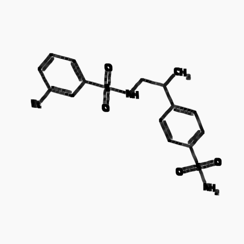 CCc1cccc(S(=O)(=O)NCC(C)c2ccc(S(N)(=O)=O)cc2)c1